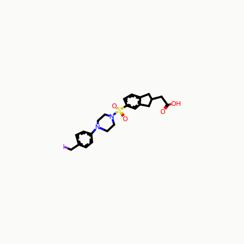 O=C(O)CC1Cc2ccc(S(=O)(=O)N3CCN(c4ccc(CI)cc4)CC3)cc2C1